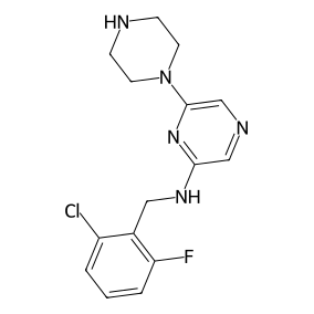 Fc1cccc(Cl)c1CNc1cncc(N2CCNCC2)n1